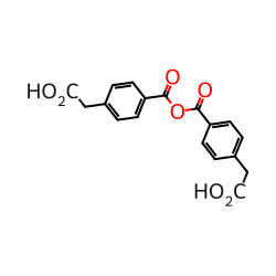 O=C(O)Cc1ccc(C(=O)OC(=O)c2ccc(CC(=O)O)cc2)cc1